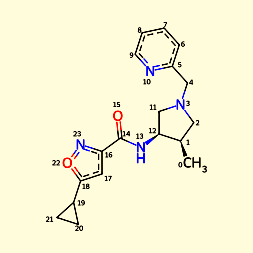 C[C@@H]1CN(Cc2ccccn2)C[C@@H]1NC(=O)c1cc(C2CC2)on1